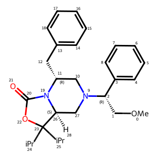 COC[C@@H](c1ccccc1)N1C[C@@H](Cc2ccccc2)N2C(=O)OC(C(C)C)(C(C)C)[C@@H]2C1